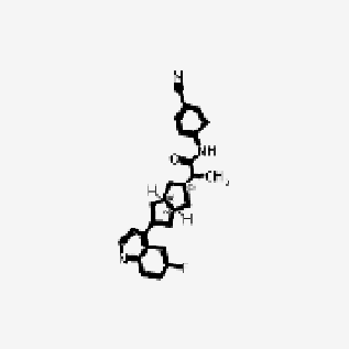 CC(C(=O)Nc1ccc(C#N)cc1)[C@H]1C[C@H]2CC(c3ccnc4ccc(F)cc34)C[C@H]2C1